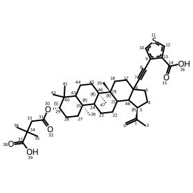 C=C(C)[C@@H]1CCC2(C#Cc3cscc3C(=O)O)CC[C@]3(C)C(CCC4[C@@]5(C)CC[C@H](OC(=O)CC(C)(C)C(=O)O)C(C)(C)C5CC[C@]43C)C12